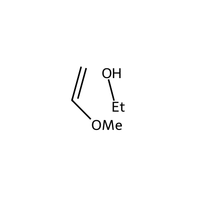 C=COC.CCO